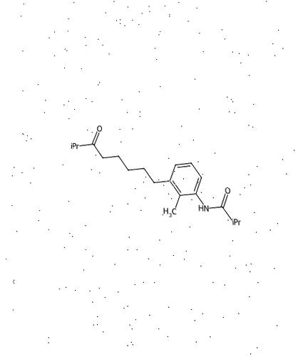 Cc1c(CCCCCC(=O)C(C)C)cccc1NC(=O)C(C)C